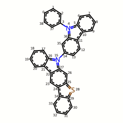 c1ccc(-n2c3ccccc3c3ccc(-n4c5ccccc5c5cc6c(cc54)sc4ccccc46)cc32)cc1